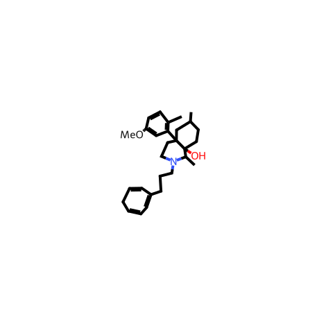 COc1ccc(C)c(C23CCN(CCCC4=CC=CCC=C4)C(C)C2(O)CCC(C)C3)c1